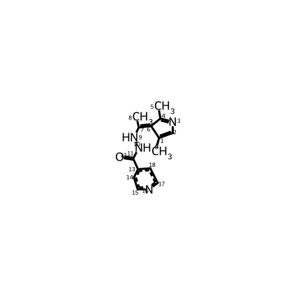 CC1=CN=C(C)C1=C(C)NNC(=O)c1ccncc1